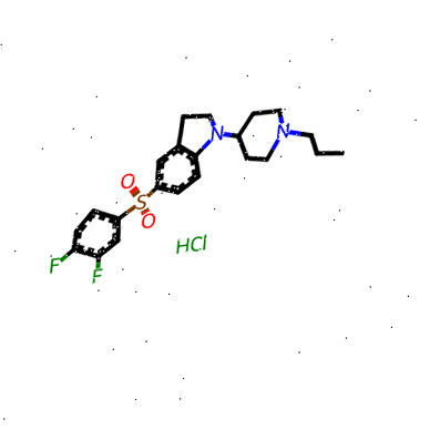 CCCN1CCC(N2CCc3cc(S(=O)(=O)c4ccc(F)c(F)c4)ccc32)CC1.Cl